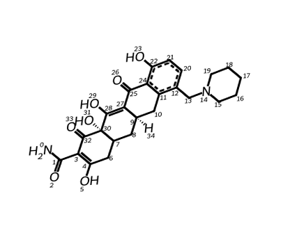 NC(=O)C1=C(O)CC2C[C@@H]3Cc4c(CN5CCCCC5)ccc(O)c4C(=O)C3=C(O)[C@]2(O)C1=O